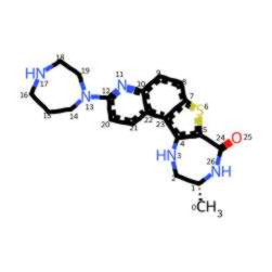 C[C@@H]1CNc2c(sc3ccc4nc(N5CCCNCC5)ccc4c23)C(=O)N1